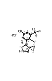 Cl.FC(F)(F)c1cc(Cl)cc2c1CO[C@H]1CNC[C@@H]21